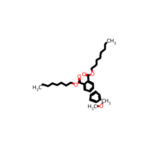 CCCCCCCCOC(=O)c1ccccc1C(=O)OCCCCCCCC.COC.c1ccccc1